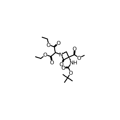 CCOC(=O)C(C(=O)OCC)N1C[C@](NC(=O)OC(C)(C)C)(C(=O)OC)C1=O